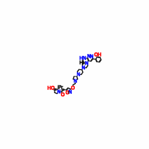 CC(C)[C@@H](C(=O)N1CC[C@@H](O)C1)c1cc(OCCN2CCC(N3CCC(N4CCN5c6cc(-c7ccccc7O)nnc6NC[C@H]5C4)CC3)C2)no1